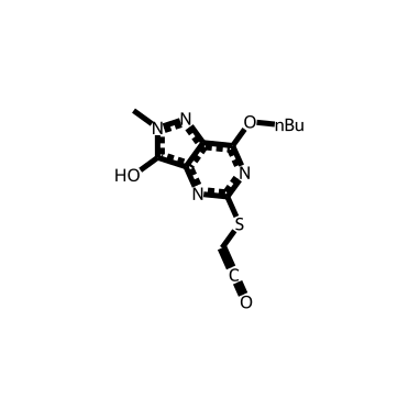 CCCCOc1nc(SC=C=O)nc2c(O)n(C)nc12